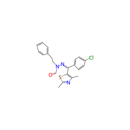 Cc1nc(C)c(/C(=N\N(C=O)CCc2ccccc2)c2ccc(Cl)cc2)s1